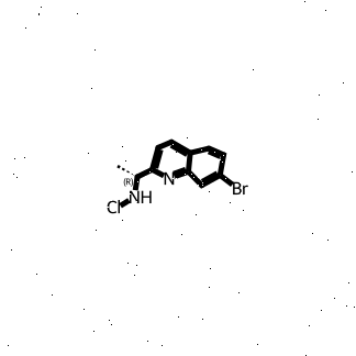 C[C@@H](NCl)c1ccc2ccc(Br)cc2n1